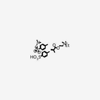 C=C(C)C(=O)OCC[N+](C)(C)CC.CN(C)C.Cc1ccc(S(=O)(=O)O)cc1.Cc1ccc(S(=O)(=O)[O-])cc1